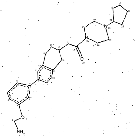 NCOc1cccc(-c2ccc3c(c2)CCN(CC(=O)N2CCN(C4CCCC4)CC2)C3)c1